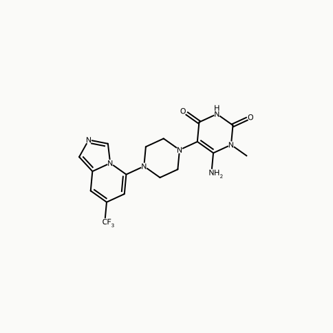 Cn1c(N)c(N2CCN(c3cc(C(F)(F)F)cc4cncn34)CC2)c(=O)[nH]c1=O